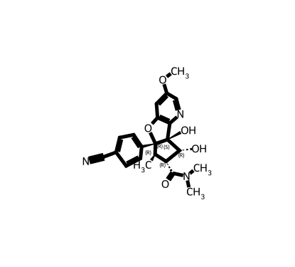 COc1cnc2c(c1)O[C@@]1(c3ccc(C#N)cc3)[C@H](C)[C@@H](C(=O)N(C)C)[C@@H](O)[C@@]21O